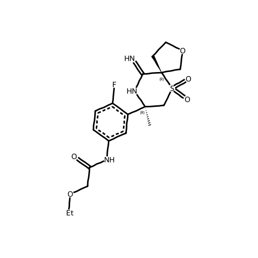 CCOCC(=O)Nc1ccc(F)c([C@]2(C)CS(=O)(=O)[C@]3(CCOC3)C(=N)N2)c1